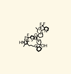 CCC[C@H]1N(C(=O)c2ncccc2C(F)(F)F)CCC[C@@]1(Oc1csc(C(F)(F)F)c1)C(=O)N1CCC(O)(c2ccccc2OCCCc2c(C)n[nH]c2C)CC1